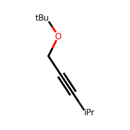 CC(C)C#CCOC(C)(C)C